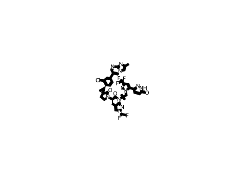 Cc1cn2cc(-c3ccc([C@H]4C[C@@]45CCN([C@H](Cc4cnn(C(F)F)c4)C(=O)NC(C)(C)Cn4nc(C(F)(F)F)cc4-c4ccc(=O)[nH]n4)C5=O)c(Cl)c3)cnc2n1